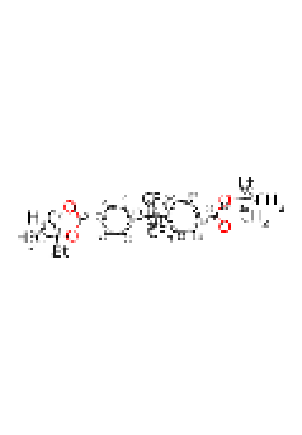 CCC(C)(C)OC(=O)c1ccc(C(c2ccc(C(=O)OC(C)(C)CC)cc2)(C(F)(F)F)C(F)(F)F)cc1